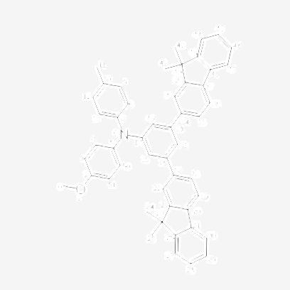 COc1ccc(N(c2ccc(C)cc2)c2cc(-c3ccc4c(c3)C(C)(C)c3ccccc3-4)cc(-c3ccc4c(c3)C(C)(C)c3ccccc3-4)c2)cc1